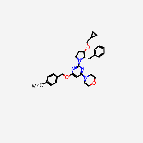 COc1ccc(COc2cc(N3CCOCC3)nc(N3CC[C@@H](OCC4CC4)[C@@H]3Cc3ccccc3)n2)cc1